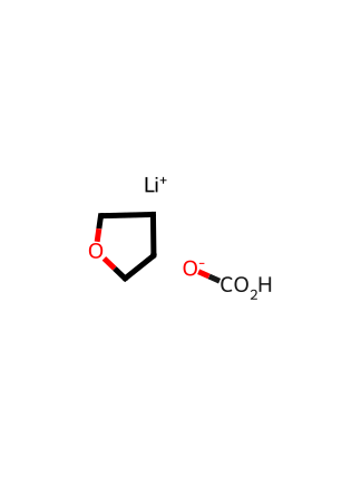 C1CCOC1.O=C([O-])O.[Li+]